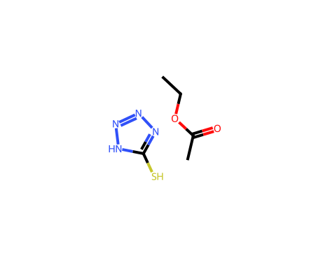 CCOC(C)=O.Sc1nnn[nH]1